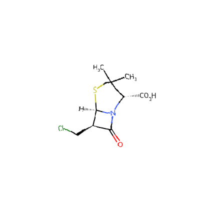 CC1(C)S[C@@H]2[C@H](CCl)C(=O)N2[C@H]1C(=O)O